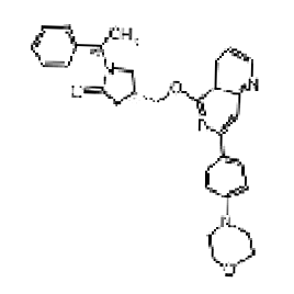 C[C@H](c1ccccc1)N1C[C@H](COc2nc(-c3ccc(N4CCOCC4)cc3)cc3ncccc23)CC1=O